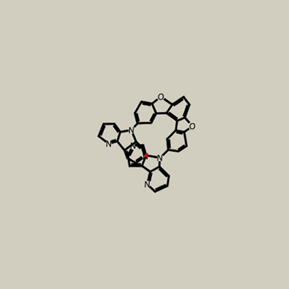 c1cnc2c3ccncc3n(-c3ccc4oc5ccc6oc7ccc(-n8c9cnccc9c9ncccc98)cc7c6c5c4c3)c2c1